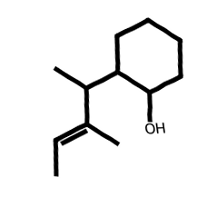 C/C=C(\C)C(C)C1CCCCC1O